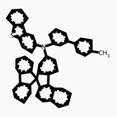 Cc1ccc(-c2cccc(N(c3ccc4c(c3)C3(c5ccccc5-c5ccccc53)c3ccc5ccccc5c3-4)c3ccc4sc5ccccc5c4c3)c2)cc1